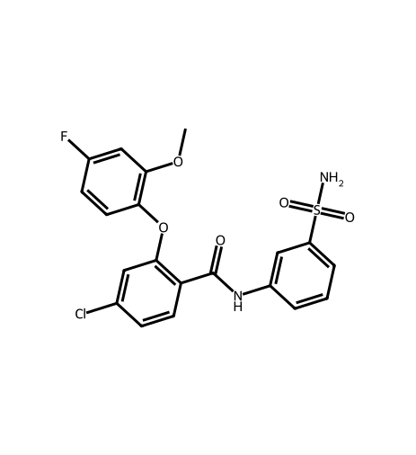 COc1cc(F)ccc1Oc1cc(Cl)ccc1C(=O)Nc1cccc(S(N)(=O)=O)c1